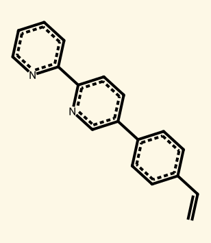 C=Cc1ccc(-c2ccc(-c3ccccn3)nc2)cc1